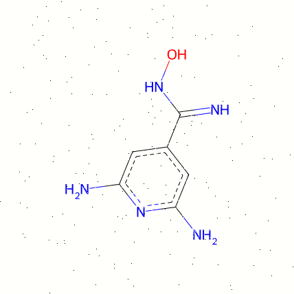 N=C(NO)c1cc(N)nc(N)c1